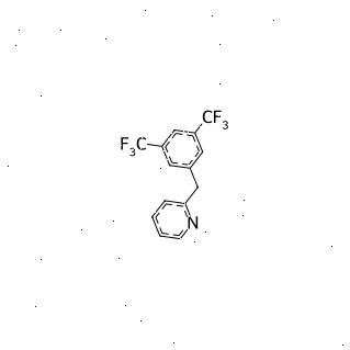 FC(F)(F)c1cc(Cc2ccccn2)cc(C(F)(F)F)c1